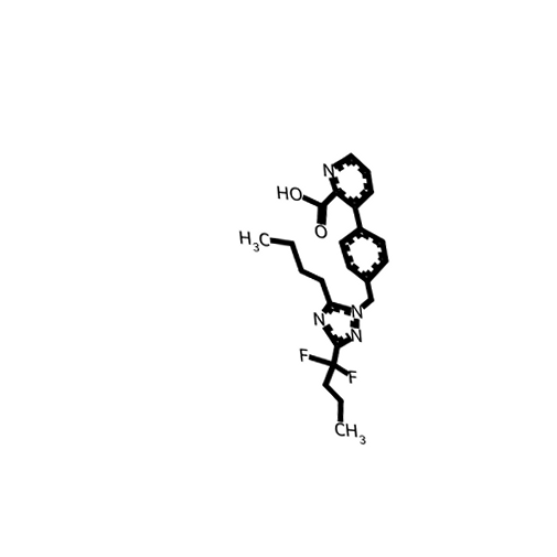 CCCCc1nc(C(F)(F)CCC)nn1Cc1ccc(-c2cccnc2C(=O)O)cc1